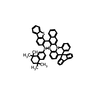 CC1(C)CCC(C)(C)c2cc(N3B4c5cccc6c5N(c5ccccc5C65c6ccccc6-c6ccccc65)c5cc6ccccc6c(c54)-c4c3ccc3c4sc4ccccc43)ccc21